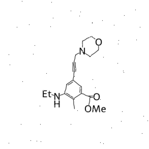 CCNc1cc(C#CCN2CCOCC2)cc(C(=O)OC)c1C